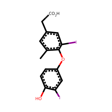 Cc1cc(CC(=O)O)cc(I)c1Oc1ccc(O)c(I)c1